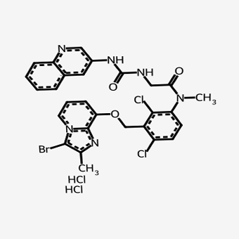 Cc1nc2c(OCc3c(Cl)ccc(N(C)C(=O)CNC(=O)Nc4cnc5ccccc5c4)c3Cl)cccn2c1Br.Cl.Cl